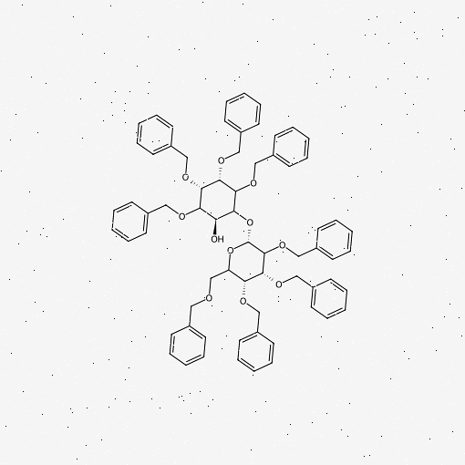 O[C@@H]1C(O[C@H]2OC(COCc3ccccc3)[C@@H](OCc3ccccc3)[C@@H](OCc3ccccc3)C2OCc2ccccc2)C(OCc2ccccc2)[C@@H](OCc2ccccc2)[C@@H](OCc2ccccc2)C1OCc1ccccc1